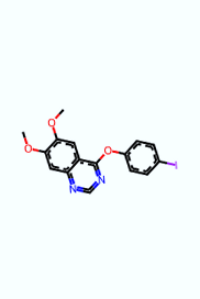 COc1cc2ncnc(Oc3ccc(I)cc3)c2cc1OC